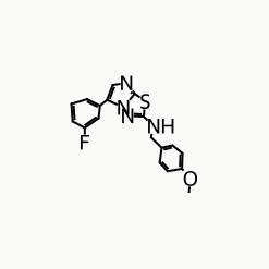 COc1ccc(CNc2nn3c(-c4cccc(F)c4)cnc3s2)cc1